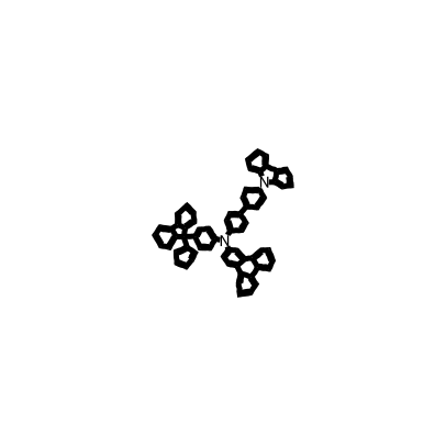 c1ccc(C2(c3ccc(N(c4ccc(-c5ccc(-n6c7ccccc7c7ccccc76)cc5)cc4)c4ccc5c6ccccc6c6ccccc6c5c4)cc3)c3ccccc3-c3ccccc32)cc1